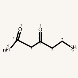 CCCC(=O)CC(=O)CCS